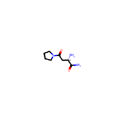 NC(=O)[C@@H](N)CC(=O)N1CCCC1